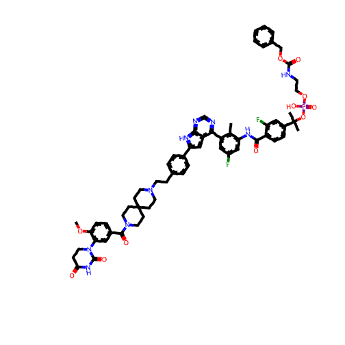 COc1ccc(C(=O)N2CCC3(CCN(CCc4ccc(-c5cc6c(-c7cc(F)cc(NC(=O)c8ccc(C(C)(C)OP(=O)(O)OCCNC(=O)OCc9ccccc9)cc8F)c7C)ncnc6[nH]5)cc4)CC3)CC2)cc1N1CCC(=O)NC1=O